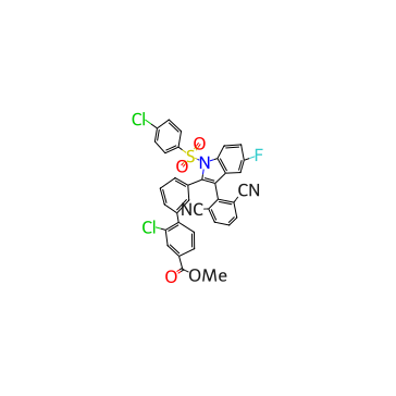 COC(=O)c1ccc(-c2cccc(-c3c(-c4c(C#N)cccc4C#N)c4cc(F)ccc4n3S(=O)(=O)c3ccc(Cl)cc3)c2)c(Cl)c1